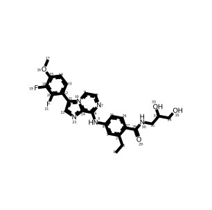 CCc1cc(Nc2nccn3c(-c4ccc(OC)c(F)c4F)cnc23)ccc1C(=O)NCC(O)CO